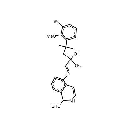 COc1c(C(C)C)cccc1C(C)(C)CC(O)(C=Nc1cccc2c1C=CNC2C=O)C(F)(F)F